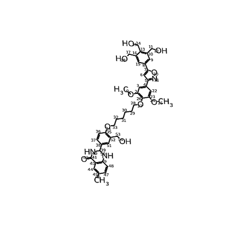 COc1cc(-c2cc(-c3cc(CO)c(CO)c(CO)c3)on2)cc(OC)c1OCCCCCCOc1ccc(C2NC(=O)c3cc(C)ccc3N2)cc1CO